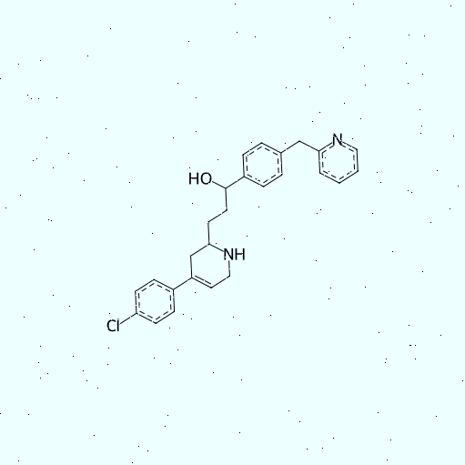 OC(CCC1CC(c2ccc(Cl)cc2)=CCN1)c1ccc(Cc2ccccn2)cc1